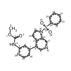 COC(=O)Nc1cc(-c2cncc3c2ccn3S(=O)(=O)c2ccccc2)ccn1